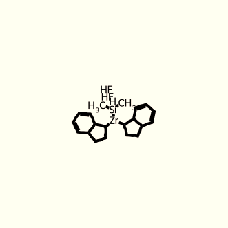 C[SiH](C)[Zr]([CH]1CCC2C=CC=CC21)[CH]1CCC2C=CC=CC21.F.F